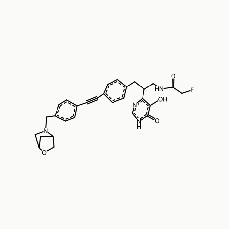 O=C(CF)NCC(Cc1ccc(C#Cc2ccc(CN3CC4CC3CO4)cc2)cc1)c1nc[nH]c(=O)c1O